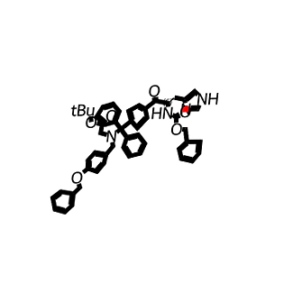 CC(C)(C)OC(=O)CN(Cc1ccc(OCc2ccccc2)cc1)C(c1ccccc1)(c1ccccc1)c1ccc(C(=O)[C@H](Cc2c[nH]cn2)NC(=O)OCc2ccccc2)cc1